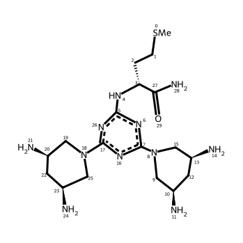 CSCC[C@@H](Nc1nc(N2C[C@H](N)C[C@H](N)C2)nc(N2C[C@H](N)C[C@H](N)C2)n1)C(N)=O